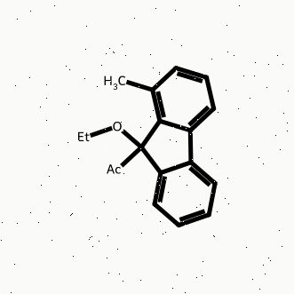 CCOC1(C(C)=O)c2ccccc2-c2cccc(C)c21